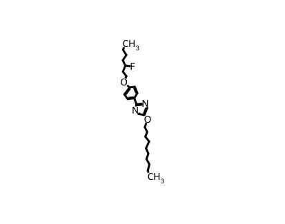 CCCCCCCCCCOc1cnc(-c2ccc(OCCC(F)CCCC)cc2)nc1